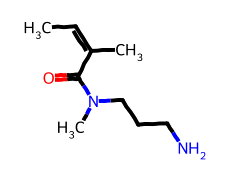 CC=C(C)C(=O)N(C)CCCN